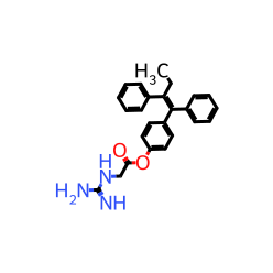 CC/C(=C(\c1ccccc1)c1ccc(OC(=O)CNC(=N)N)cc1)c1ccccc1